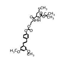 COc1cc(C=Cc2ccc(OC(=O)OCCNC(=O)C(CCSC)NC(=O)OC(C)(C)C)cc2)cc(OC)c1